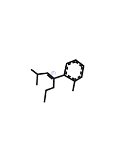 CCC/C(=C\C(C)C)c1ccccc1C